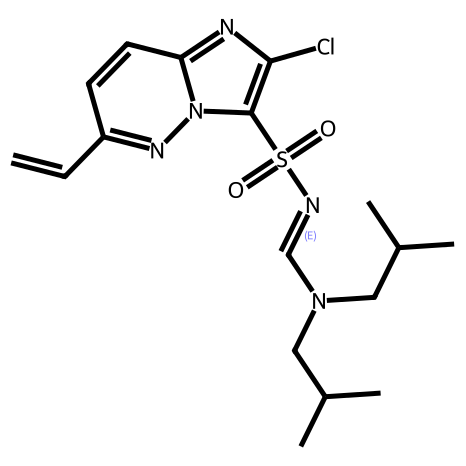 C=Cc1ccc2nc(Cl)c(S(=O)(=O)/N=C/N(CC(C)C)CC(C)C)n2n1